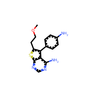 COCCc1sc2ncnc(N)c2c1-c1ccc(N)cc1